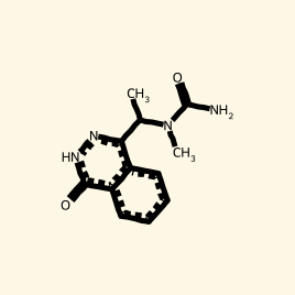 CC(c1n[nH]c(=O)c2ccccc12)N(C)C(N)=O